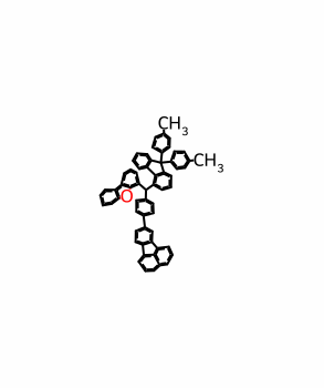 Cc1ccc(C2(c3ccc(C)cc3)c3ccccc3-c3c(C(c4ccc(-c5ccc6c(c5)-c5cccc7cccc-6c57)cc4)c4cccc5c4oc4ccccc45)cccc32)cc1